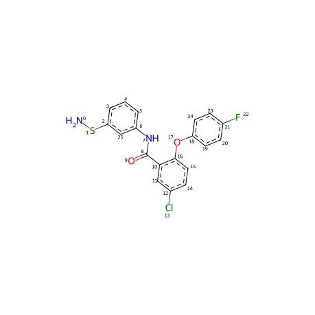 NSc1cccc(NC(=O)c2cc(Cl)ccc2Oc2ccc(F)cc2)c1